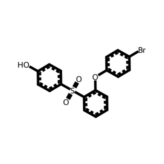 O=S(=O)(c1ccc(O)cc1)c1ccccc1Oc1ccc(Br)cc1